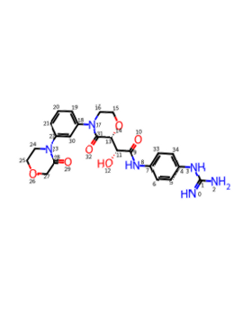 N=C(N)Nc1ccc(NC(=O)[C@H](O)[C@H]2OCCN(c3cccc(N4CCOCC4=O)c3)C2=O)cc1